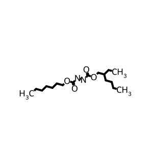 CCCCCCCOC(=O)N=NC(=O)OCC(CC)CCCC